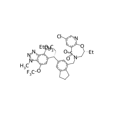 CCOC(=O)C[C@H](c1cc2c(c(CN3C[C@@H](CC)Oc4ncc(Cl)cc4S3(=O)=O)c1)CCC2)c1cc(OC(F)(F)F)c2c(nnn2C)c1C